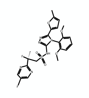 COc1cccc(OC)c1-n1c(NS(=O)(=O)C[C@](C)(F)c2ncc(F)cn2)nnc1-c1ccc(C)o1